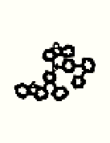 c1ccc(-c2ccccc2-c2ccc(N(c3ccc(-c4cccc5c4sc4ccccc45)c(-c4ccccc4)c3)c3cccc4oc5ccccc5c34)cc2)cc1